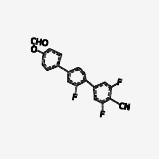 N#Cc1c(F)cc(-c2ccc(-c3ccc(OC=O)cc3)cc2F)cc1F